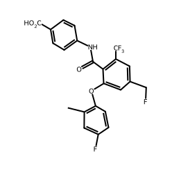 Cc1cc(F)ccc1Oc1cc(CF)cc(C(F)(F)F)c1C(=O)Nc1ccc(C(=O)O)cc1